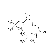 CC(COCC(C)NCC(C)(C)N)NCC(C)(C)C